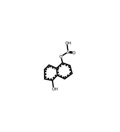 O=S(O)Oc1cccc2c(O)cccc12